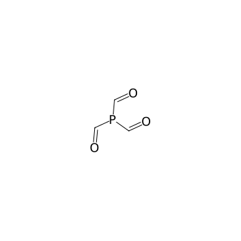 O=CP(C=O)C=O